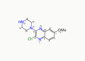 COc1ccc2nc(Cl)c(N3CCNCC3)nc2c1